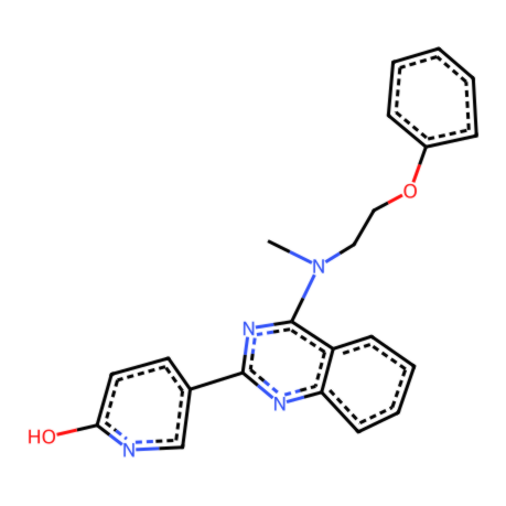 CN(CCOc1ccccc1)c1nc(-c2ccc(O)nc2)nc2ccccc12